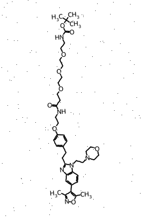 Cc1noc(C)c1-c1ccc2c(c1)nc(CCc1ccc(OCCNC(=O)CCOCCOCCOCCNC(=O)OC(C)(C)C)cc1)n2CCN1CCOCC1